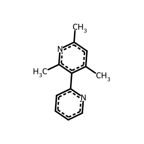 Cc1cc(C)c(-c2ccccn2)c(C)n1